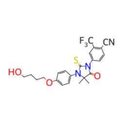 CC1(C)C(=O)N(c2ccc(C#N)c(C(F)(F)F)c2)C(=S)N1c1ccc(OCCCCO)cc1